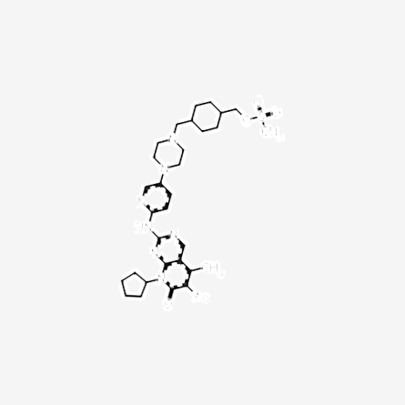 CC(=O)c1c(C)c2cnc(Nc3ccc(N4CCN(CC5CCC(COS(C)(=O)=O)CC5)CC4)cn3)nc2n(C2CCCC2)c1=O